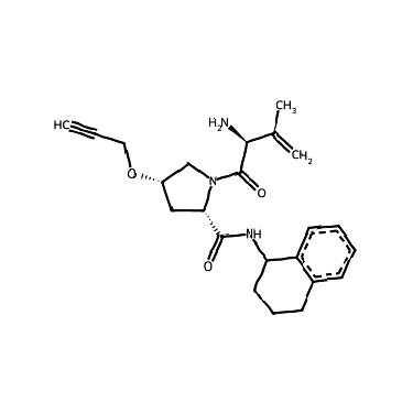 C#CCO[C@H]1C[C@@H](C(=O)NC2CCCc3ccccc32)N(C(=O)[C@@H](N)C(=C)C)C1